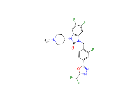 CN1CCC(n2c(=O)n(Cc3ccc(-c4nnc(C(F)F)o4)cc3F)c3cc(F)c(F)cc32)CC1